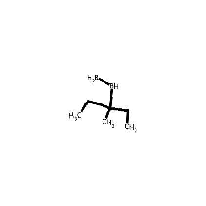 BBC(C)(CC)CC